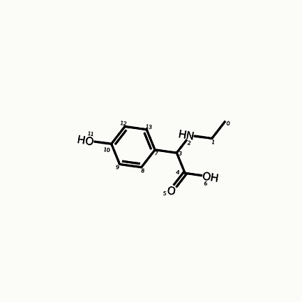 CCNC(C(=O)O)c1ccc(O)cc1